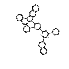 c1ccc(-c2nc(-c3ccc(-n4c5cc6ccccc6cc5c5c6ccccc6ccc54)c(-c4ccccc4)c3)nc(-c3ccc4ccccc4c3)n2)cc1